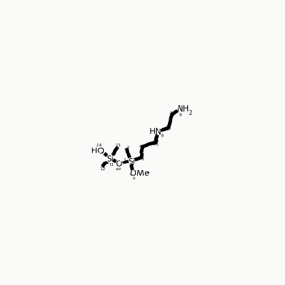 CO[Si](C)(CCCNCCN)O[Si](C)(C)O